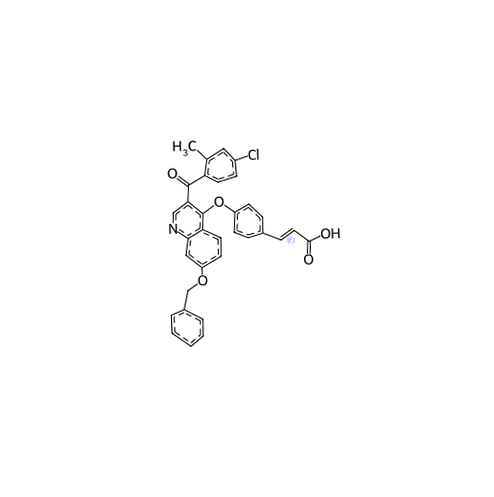 Cc1cc(Cl)ccc1C(=O)c1cnc2cc(OCc3ccccc3)ccc2c1Oc1ccc(/C=C/C(=O)O)cc1